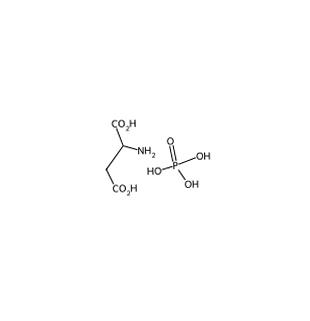 NC(CC(=O)O)C(=O)O.O=P(O)(O)O